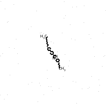 CCCCCCCCC[C@H]1CC[C@H]([C@H]2CC[C@H](c3cnc([C@H]4CC[C@H](CCCCC)CC4)nc3)CC2)CC1